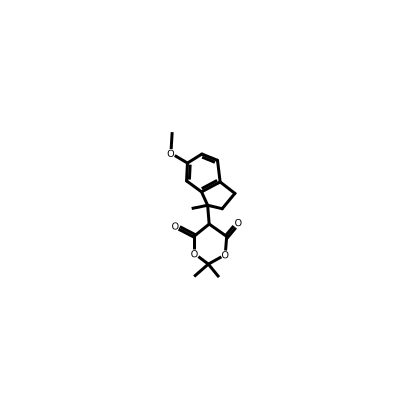 COc1ccc2c(c1)C(C)(C1C(=O)OC(C)(C)OC1=O)CC2